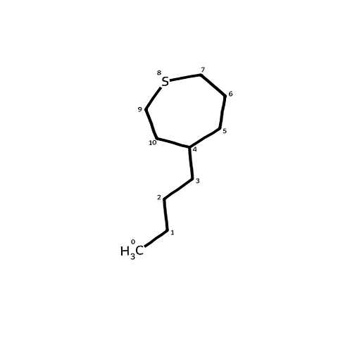 CCCCC1CCCSCC1